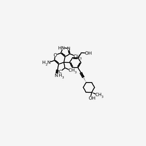 Cc1n[nH]c2c1C(c1cc(C#C[C@H]3CC[C@@](C)(O)CC3)cc(CO)c1)(C(C)C)C(C#N)=C(N)O2